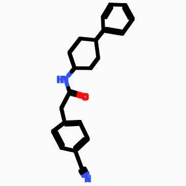 N#Cc1ccc(CC(=O)NC2CCC(c3ccccc3)CC2)cc1